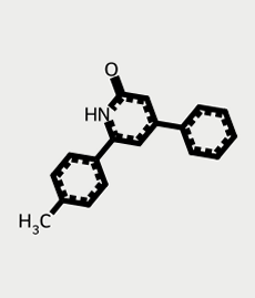 Cc1ccc(-c2cc(-c3ccccc3)cc(=O)[nH]2)cc1